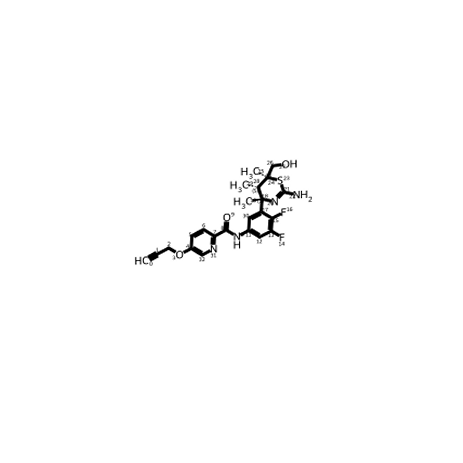 C#CCOc1ccc(C(=O)Nc2cc(F)c(F)c([C@@]3(C)N=C(N)S[C@](C)(CO)[C@H]3C)c2)nc1